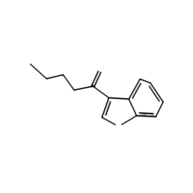 CCCCC(=O)c1csc2ccccc12